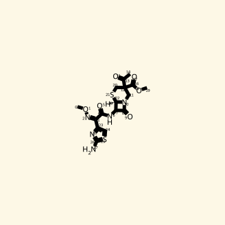 CO/N=C(\C(=O)NC1C(=O)N2CC(C(C)=O)(C(=O)OC)CS[C@H]12)c1csc(N)n1